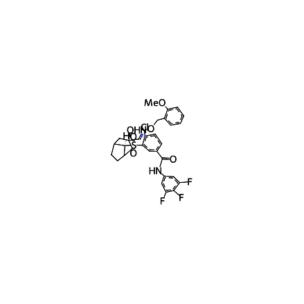 COc1ccccc1CO/N=C/[C@]1(O)CC2CCC(C1)[C@H]2S(=O)(=O)c1cc(C(=O)Nc2cc(F)c(F)c(F)c2)ccc1Cl